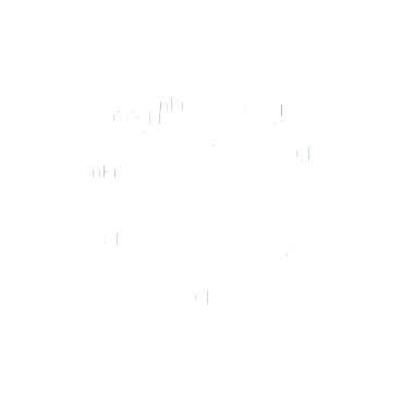 CCCC1(C(=O)O)C(Cl)=C(Cl)C(Cl)=C(Cl)C1(CCC)C(=O)O